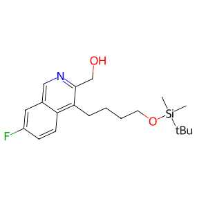 CC(C)(C)[Si](C)(C)OCCCCc1c(CO)ncc2cc(F)ccc12